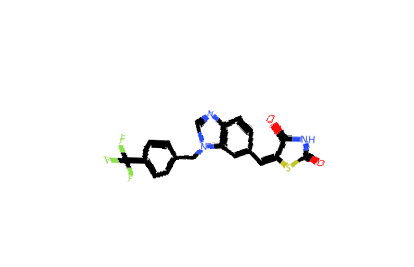 O=C1NC(=O)/C(=C\c2ccc3ncn(Cc4ccc(C(F)(F)F)cc4)c3c2)S1